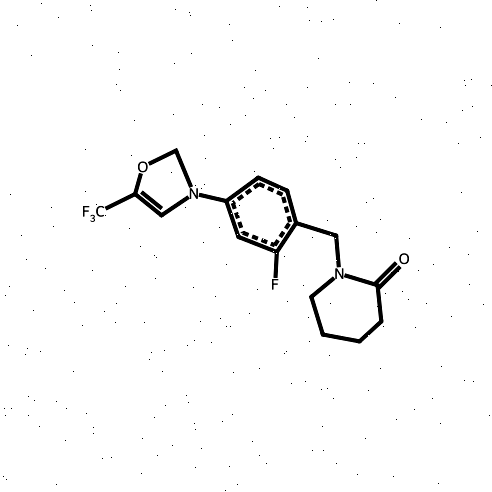 O=C1CCCCN1Cc1ccc(N2C=C(C(F)(F)F)OC2)cc1F